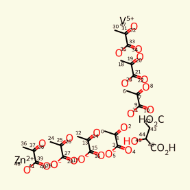 CC(=O)C(=O)[O-].CC(=O)C(=O)[O-].CC(=O)C(=O)[O-].CC(=O)C(=O)[O-].CC(=O)C(=O)[O-].CC(=O)C(=O)[O-].CC(=O)C(=O)[O-].O=C(O)CC(O)C(=O)O.[V+5].[Zn+2]